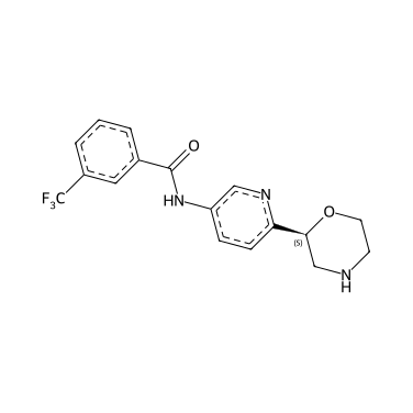 O=C(Nc1ccc([C@@H]2CNCCO2)nc1)c1cccc(C(F)(F)F)c1